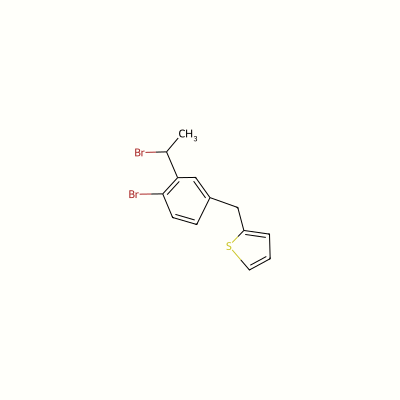 CC(Br)c1cc(Cc2cccs2)ccc1Br